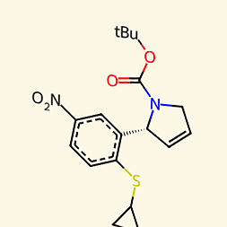 CC(C)(C)OC(=O)N1CC=C[C@@H]1c1cc([N+](=O)[O-])ccc1SC1CC1